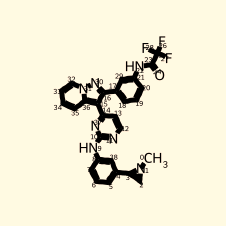 CN1C=C1c1cccc(Nc2nccc(-c3c(-c4cccc(NC(=O)C(F)(F)F)c4)nn4ccccc34)n2)c1